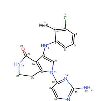 CSc1c(Cl)cccc1Nc1cn(-c2ccnc(N)n2)c2c1C(=O)NCC2